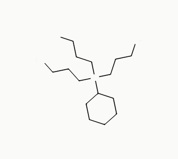 CCC[CH2][Sn]([CH2]CCC)([CH2]CCC)[C]1CCCCC1